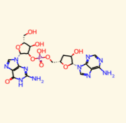 Nc1nc2c(ncn2[C@@H]2O[C@H](CO)[C@@H](O)[C@H]2OP(=O)(O)OC[C@@H]2C[C@@H](O)[C@H](n3cnc4c(N)ncnc43)O2)c(=O)[nH]1